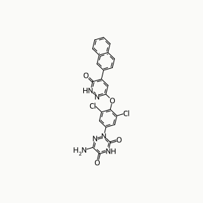 Nc1nn(-c2cc(Cl)c(Oc3cc(-c4ccc5ccccc5c4)c(=O)[nH]n3)c(Cl)c2)c(=O)[nH]c1=O